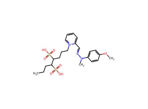 CCCC(C(CCC[n+]1ccccc1C=NN(C)c1ccc(OC)cc1)S(=O)(=O)O)S(=O)(=O)O